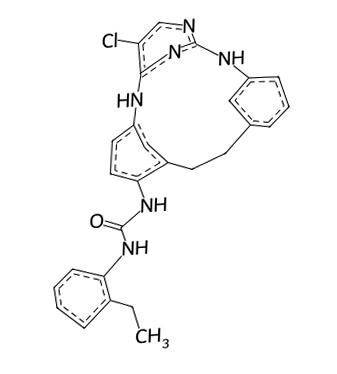 CCc1ccccc1NC(=O)Nc1ccc2cc1CCc1cccc(c1)Nc1ncc(Cl)c(n1)N2